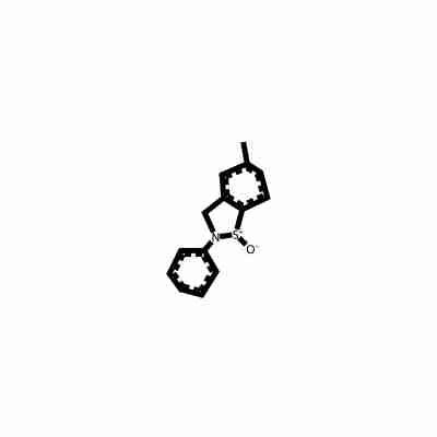 Cc1ccc2c(c1)CN(c1ccccc1)[S+]2[O-]